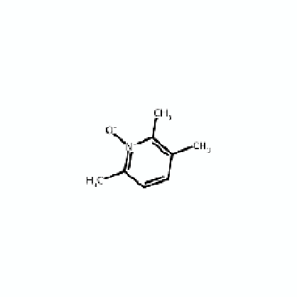 Cc1ccc(C)[n+]([O-])c1C